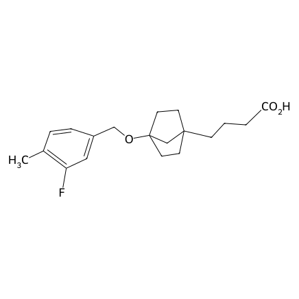 Cc1ccc(COC23CCC(CCCC(=O)O)(CC2)C3)cc1F